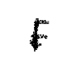 CNC(=O)c1c(-c2ccc(F)cc2)oc2cc(N(CCOCCOCc3ccc(C(=O)OC)c(C)c3)SC)c(C3CC3)cc12